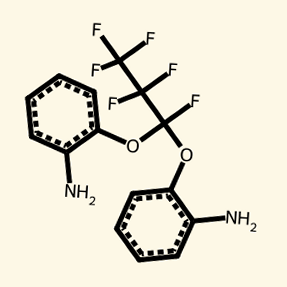 Nc1ccccc1OC(F)(Oc1ccccc1N)C(F)(F)C(F)(F)F